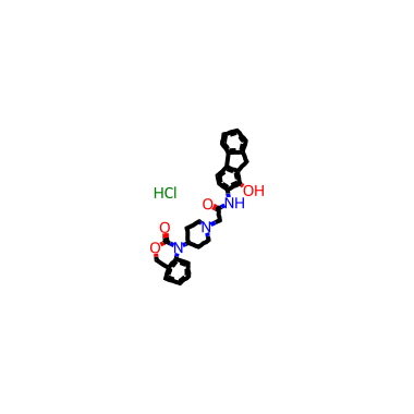 Cl.O=C(CN1CCC(N2C(=O)OCc3ccccc32)CC1)Nc1ccc2c(c1O)Cc1ccccc1-2